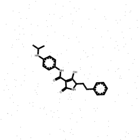 CC(C)Nc1ccc(NC(=O)C2=C(O)C(CCc3ccccc3)NC2=O)cc1